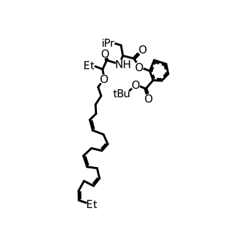 CC/C=C\C/C=C\C/C=C\C/C=C\C/C=C\CCCCOC(CC)C(=O)NC(CC(C)C)C(=O)Oc1ccccc1C(=O)OC(C)(C)C